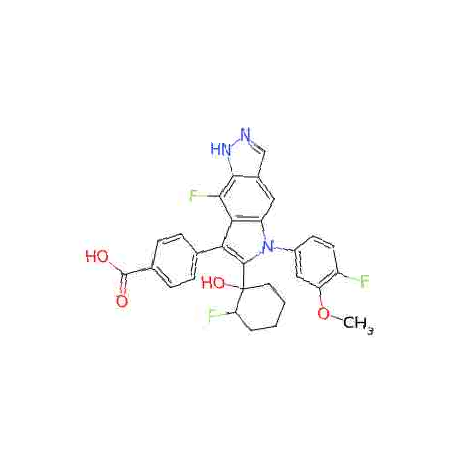 COc1cc(-n2c(C3(O)CCCCC3F)c(-c3ccc(C(=O)O)cc3)c3c(F)c4[nH]ncc4cc32)ccc1F